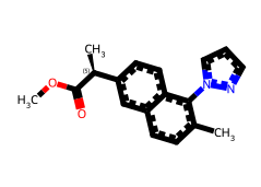 COC(=O)[C@@H](C)c1ccc2c(-n3cccn3)c(C)ccc2c1